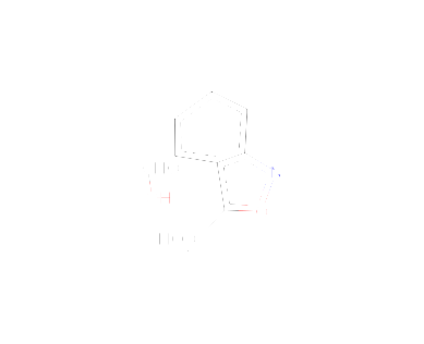 O=C(O)c1onc2ccccc12.O=CO